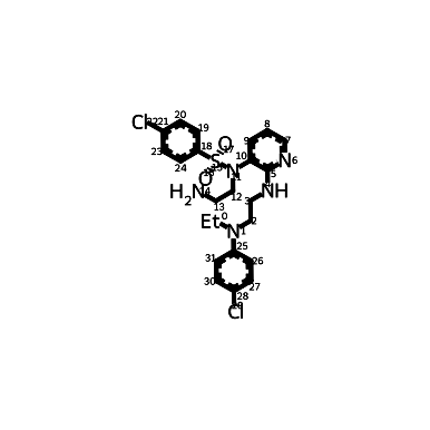 CCN(CCNc1ncccc1N(CCN)S(=O)(=O)c1ccc(Cl)cc1)c1ccc(Cl)cc1